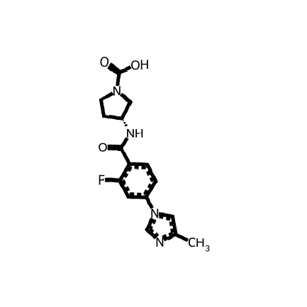 Cc1cn(-c2ccc(C(=O)N[C@@H]3CCN(C(=O)O)C3)c(F)c2)cn1